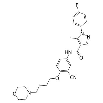 Cc1c(C(=O)Nc2ccc(OCCCCN3CCOCC3)c(C#N)c2)cnn1-c1ccc(F)cc1